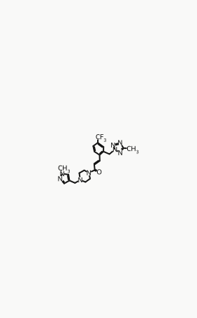 Cc1nnn(Cc2cc(C(F)(F)F)ccc2/C=C/C(=O)N2CCN(Cc3cnn(C)c3)CC2)n1